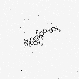 COCCOc1cc(F)c(N2CCN(C(C)(C)C)CC2)c(F)c1